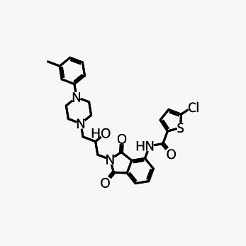 Cc1cccc(N2CCN(CC(O)CN3C(=O)c4cccc(NC(=O)c5ccc(Cl)s5)c4C3=O)CC2)c1